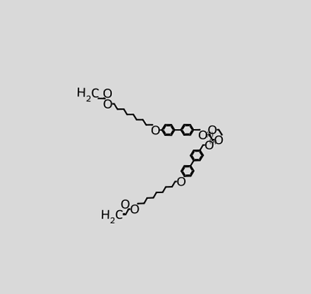 C=CC(=O)OCCCCCCCCCOc1ccc(-c2ccc(CO[C@H]3OCCO[C@@H]3OCc3ccc(-c4ccc(OCCCCCCCCCOC(=O)C=C)cc4)cc3)cc2)cc1